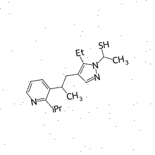 CCc1c(CC(C)c2cccnc2C(C)C)cnn1C(C)S